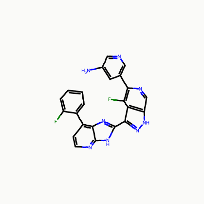 Nc1cncc(-c2ncc3[nH]nc(-c4nc5c(-c6ccccc6F)ccnc5[nH]4)c3c2F)c1